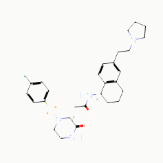 O=C(C[C@@H]1C(=O)NCCN1S(=O)(=O)c1ccc(Cl)cc1)N[C@@H]1CCCc2cc(CCN3CCCC3)ccc21